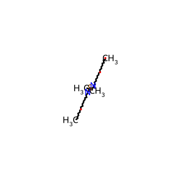 CCCCCCCCCCCCCCCCCCN=CC(C)SC(C)C=NCCCCCCCCCCCCCCCCCC